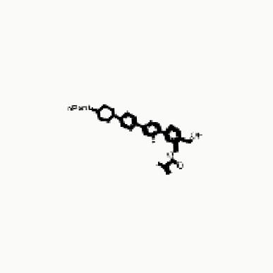 C=C(C)C(=O)OCc1cc(-c2ccc(-c3ccc(C4CCC(CCCCC)CC4)cc3)cc2F)ccc1CO